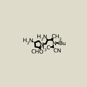 C=C(C(N)CN1C[C@@H](N)CC1C=O)N(C(C)C#N)C(C)CC